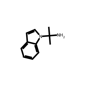 CC(C)(N)n1ccc2c[c]ccc21